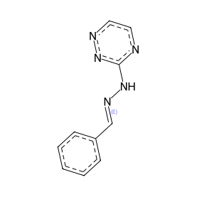 C(=N\Nc1nccnn1)/c1ccccc1